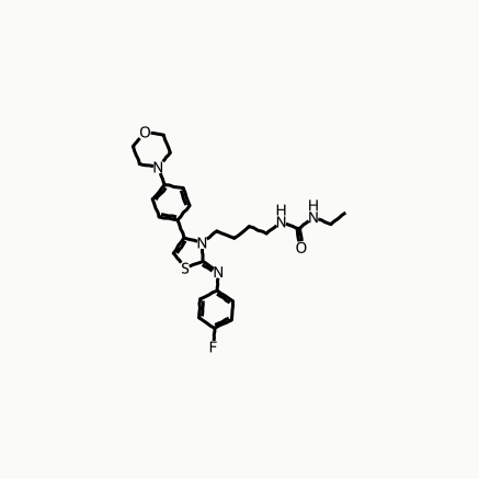 CCNC(=O)NCCCCn1c(-c2ccc(N3CCOCC3)cc2)cs/c1=N\c1ccc(F)cc1